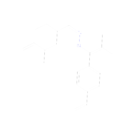 C=Cc1ccc(C(N/N=C\C(CC)CC(C)C=C)=C(C)C)cc1